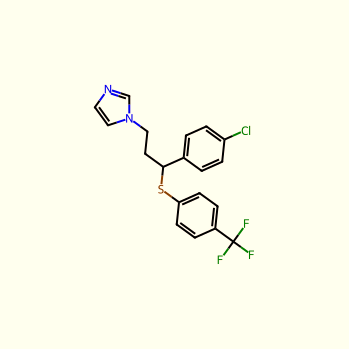 FC(F)(F)c1ccc(SC(CCn2ccnc2)c2ccc(Cl)cc2)cc1